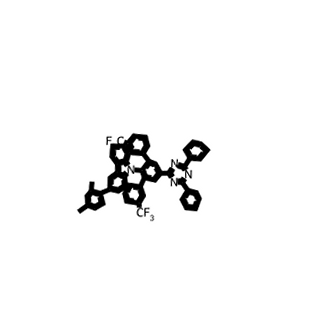 Cc1ccc(-c2ccc3c(c2)c2ccccc2n3-c2c(-c3cccc(C(F)(F)F)c3)cc(-c3nc(-c4ccccc4)nc(-c4ccccc4)n3)cc2-c2cccc(C(F)(F)F)c2)c(C)c1